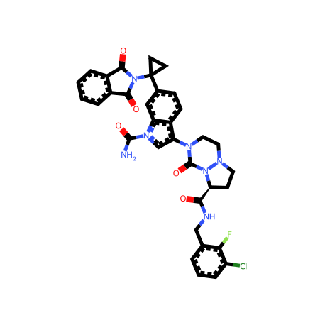 NC(=O)n1cc(N2CCN3CC[C@@H](C(=O)NCc4cccc(Cl)c4F)N3C2=O)c2ccc(C3(N4C(=O)c5ccccc5C4=O)CC3)cc21